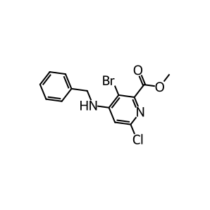 COC(=O)c1nc(Cl)cc(NCc2ccccc2)c1Br